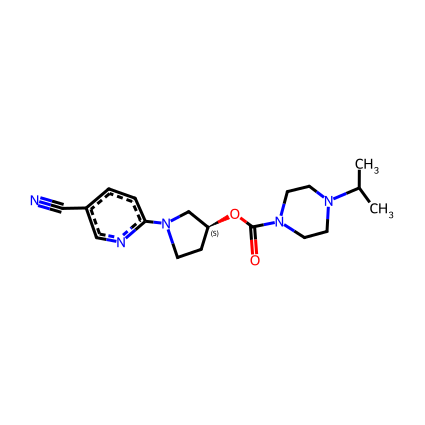 CC(C)N1CCN(C(=O)O[C@H]2CCN(c3ccc(C#N)cn3)C2)CC1